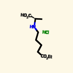 CCOC(=O)CCCCN[C@@H](C)C(=O)O.Cl